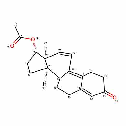 CC(=O)O[C@H]1CC[C@@H]2C3CCC4=CC(=O)CCC4=C3C=C[C@]12C